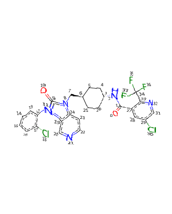 O=C(N[C@H]1CC[C@H](Cn2c(=O)n(-c3ccccc3Cl)c3cnccc32)CC1)c1cc(Cl)cnc1C(F)(F)F